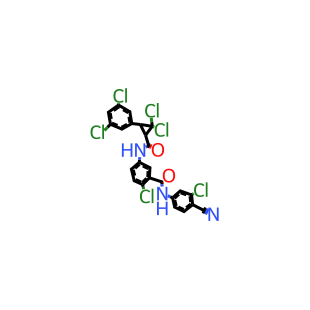 N#Cc1ccc(NC(=O)c2cc(NC(=O)C3C(c4cc(Cl)cc(Cl)c4)C3(Cl)Cl)ccc2Cl)cc1Cl